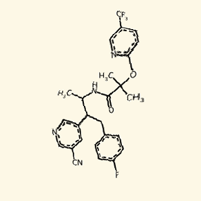 CC(NC(=O)C(C)(C)Oc1ccc(C(F)(F)F)cn1)C(Cc1ccc(F)cc1)c1cncc(C#N)c1